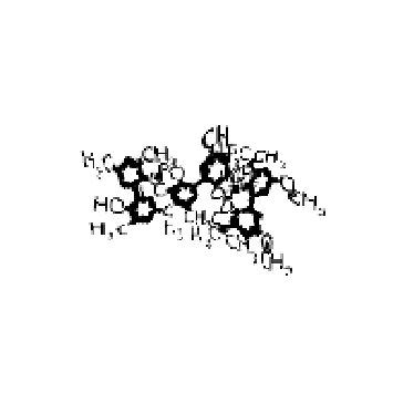 COc1cc(C(C)(C)C)c2op(Oc3c(C)cc(C)cc3-c3cc(C)cc(C)c3OPOc3c(C)cc(C)cc3-c3cc(C)cc(C)c3O)oc3c(C(C)(C)C)cc(OC)cc3c2c1